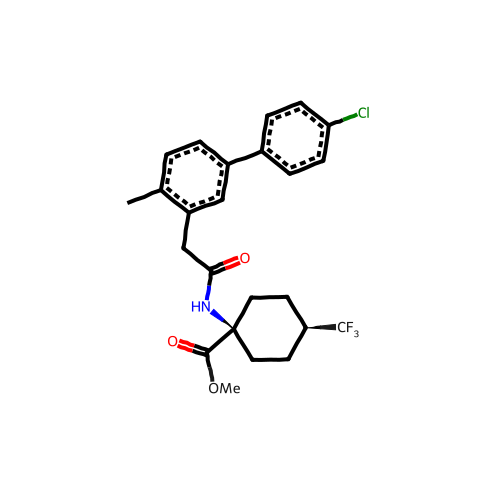 COC(=O)[C@]1(NC(=O)Cc2cc(-c3ccc(Cl)cc3)ccc2C)CC[C@@H](C(F)(F)F)CC1